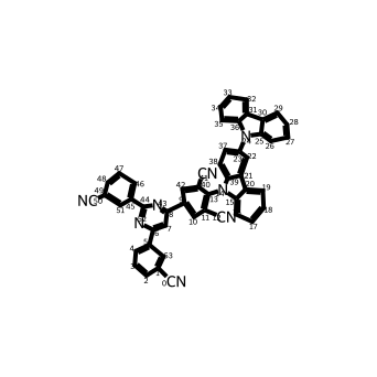 N#Cc1cccc(-c2cc(-c3cc(C#N)c(-n4c5ccccc5c5cc(-n6c7ccccc7c7ccccc76)ccc54)c(C#N)c3)nc(-c3cccc(C#N)c3)n2)c1